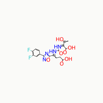 C[C@H](O)[C@H](NC(=O)N[C@@H](CCC(=O)O)c1nc(-c2ccc(F)c(F)c2)no1)C(=O)O